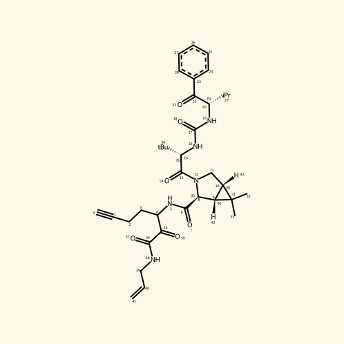 C#CCCC(NC(=O)[C@@H]1[C@@H]2[C@H](CN1C(=O)[C@@H](NC(=O)N[C@H](C(=O)c1ccccc1)C(C)C)C(C)(C)C)C2(C)C)C(=O)C(=O)NCC=C